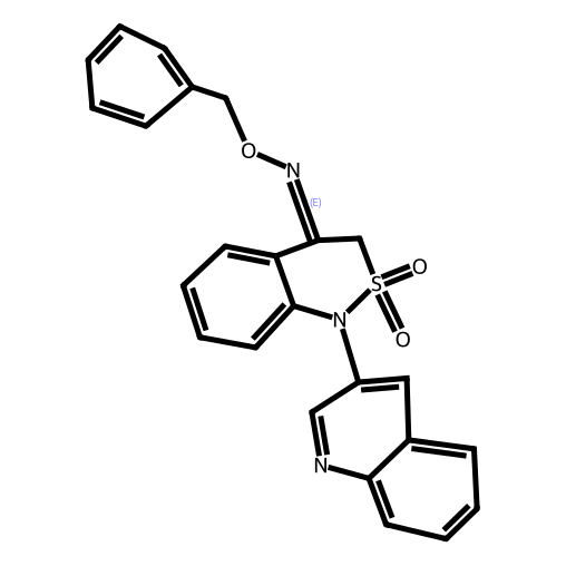 O=S1(=O)C/C(=N/OCc2ccccc2)c2ccccc2N1c1cnc2ccccc2c1